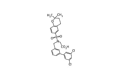 CC1(C)CCc2cc(S(=O)(=O)N(CC(=O)O)Cc3cccc(-c4cc(Cl)cc(Cl)c4)c3)ccc2O1